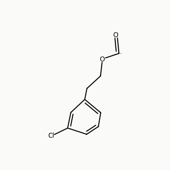 O=[C]OCCc1cccc(Cl)c1